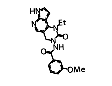 CCN1C(=O)N(NC(=O)c2cccc(OC)c2)Cc2cnc3[nH]ccc3c21